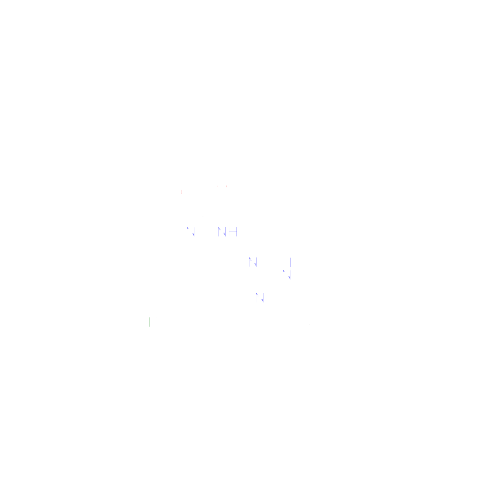 Fc1ccc(-c2nc(C3OCCCO3)[nH]c2-c2ccnc(Nc3ccccc3)n2)cc1